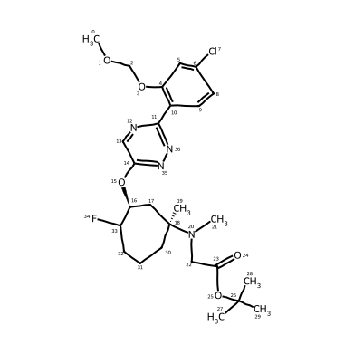 COCOc1cc(Cl)ccc1-c1ncc(O[C@H]2C[C@@](C)(N(C)CC(=O)OC(C)(C)C)CCCC2F)nn1